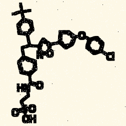 CC(C)(C)c1ccc(C(Cc2ccc(C(=O)NCCS(=O)(=O)O)cc2)c2cc(-c3ccc(Oc4ccc(Cl)cc4)cc3)on2)cc1